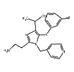 CC(C)c1nc(CCN)n(Cc2ccncc2)c1Sc1cccc(F)c1